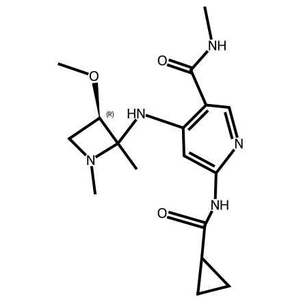 CNC(=O)c1cnc(NC(=O)C2CC2)cc1NC1(C)[C@H](OC)CN1C